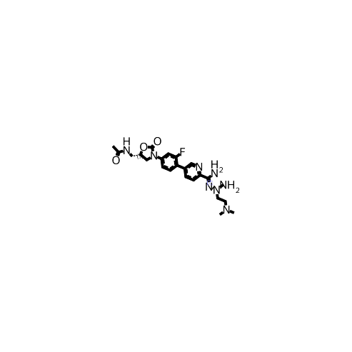 CC(=O)NC[C@H]1CN(c2ccc(-c3ccc(/C(N)=N/N(N)CCN(C)C)nc3)c(F)c2)C(=O)O1